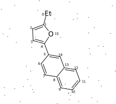 CCc1ccc(-c2ccc3ccccc3c2)o1